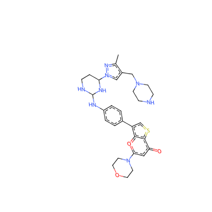 Cc1nn(C2CCNC(Nc3ccc(-c4csc5c(=O)cc(N6CCOCC6)oc45)cc3)N2)cc1CN1CCNCC1